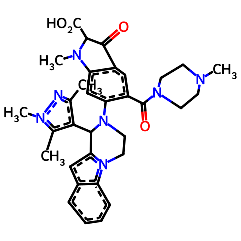 Cc1nn(C)c(C)c1C1c2cc3ccccc3n2CCN1c1cc2c(cc1C(=O)N1CCN(C)CC1)C(=O)C(C(=O)O)N2C